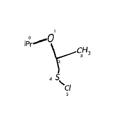 CC(C)OC(C)SCl